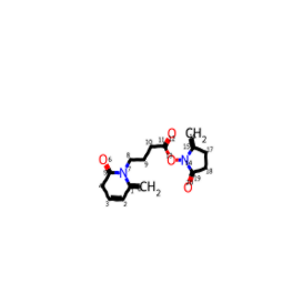 C=C1C=CCC(=O)N1CCCC(=O)ON1C(=C)CCC1=O